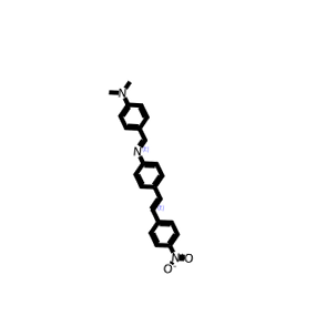 CN(C)c1ccc(/C=N/c2ccc(/C=C/c3ccc([N+](=O)[O-])cc3)cc2)cc1